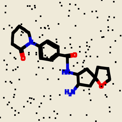 NC1CC2(CCCO2)CC1NC(=O)c1ccc(N2CCCCC2=O)cc1